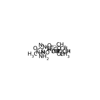 Cn1c(N)nc2c(ncn2[C@@H]2O[C@H](CC(C)(C)OP(=O)(O)C(C)(C)O)[C@@H](O)[C@H]2O)c1=O